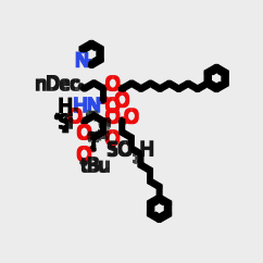 CCCCCCCCCCCCC(OC(=O)CCCCCCCCc1ccccc1)C(=O)N[C@H]1C(O[SiH](C)C)O[C@H](COC(C)(C)C)[C@@H](OS(=O)(=O)O)[C@@H]1OC(=O)CCCCCCCCc1ccccc1.c1ccncc1